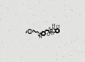 CN1CCN(CCCn2cnc3ccc(C=C4SC(Nc5c(Cl)cccc5Cl)=NC4=O)cc32)CC1